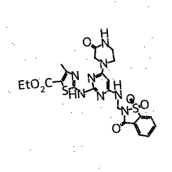 CCOC(=O)c1sc(Nc2nc(NCN3C(=O)c4ccccc4S3(=O)=O)cc(N3CCNC(=O)C3)n2)nc1C